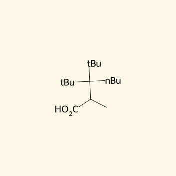 CCCCC(C(C)C(=O)O)(C(C)(C)C)C(C)(C)C